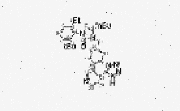 CCCCc1cn(-c2c(CC)cccc2C(C)(C)C)c(=O)n1Cc1ccc(-c2cnccc2-c2nnn[nH]2)cc1